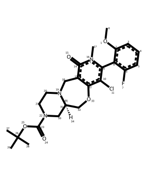 COc1cccc(F)c1-c1c(Cl)c2c(c(=O)n1C)CN1CCN(C(=O)OC(C)(C)C)C[C@@H]1CO2